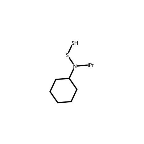 CC(C)N(SS)C1CCCCC1